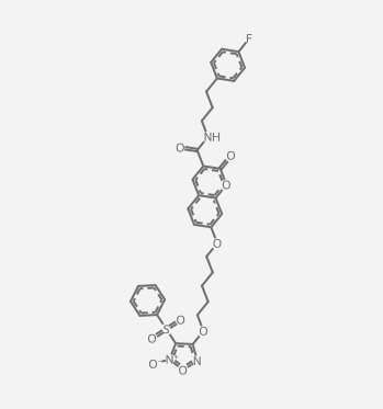 O=C(NCCCc1ccc(F)cc1)c1cc2ccc(OCCCCCOc3no[n+]([O-])c3S(=O)(=O)c3ccccc3)cc2oc1=O